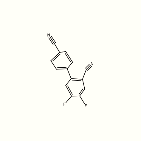 N#Cc1ccc(-c2cc(F)c(F)cc2C#N)cc1